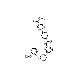 CCOc1ccccc1O[C@@H]1CCCN(c2cncc(NC(=O)C3CCN(c4ncc(C(=O)OC)cn4)CC3)n2)C1